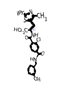 Cc1nc(C(C)C)sc1/C=C(/NC(=O)c1ccc(C(=O)NCc2cccc(O)c2)cc1Cl)C(=O)O